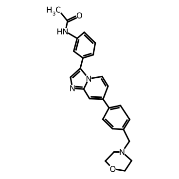 CC(=O)Nc1cccc(-c2cnc3cc(-c4ccc(CN5CCOCC5)cc4)ccn23)c1